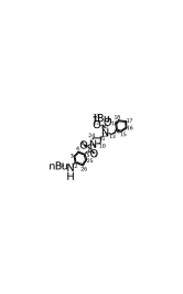 CCCCNc1ccc(S(=O)(=O)N2CC(N(Cc3ccccc3)C(=O)OC(C)(C)C)C2)cc1